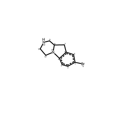 Brc1ccc2c(c1)CC1CNCCN21